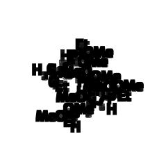 CCC(OC)(OC)PCCN(CCPC(CC)(OC)OC)C(C)OC.CCOC(C)N(CCPC(CC)(OC)OC)CCPC(CC)(OC)OC